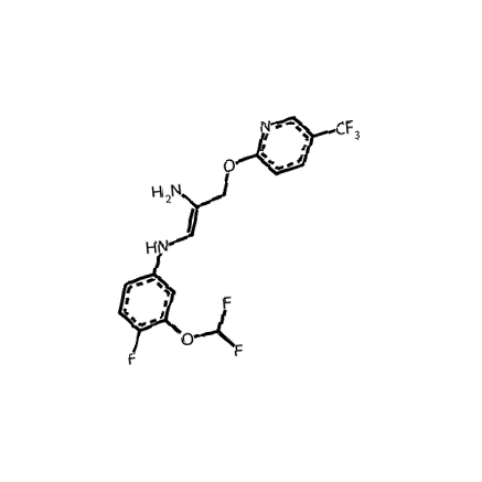 N/C(=C\Nc1ccc(F)c(OC(F)F)c1)COc1ccc(C(F)(F)F)cn1